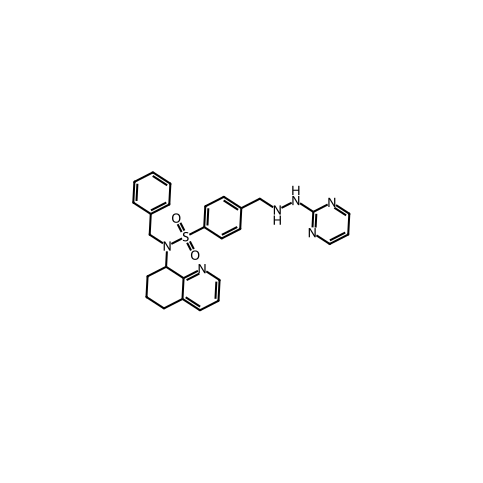 O=S(=O)(c1ccc(CNNc2ncccn2)cc1)N(Cc1ccccc1)C1CCCc2cccnc21